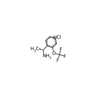 C[C@H](N)c1ccccc1OC(F)(F)F.Cl